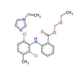 C=Cn1ccnc1.CCOCOC(=O)c1ccccc1Nc1c(Cl)ccc(C)c1Cl